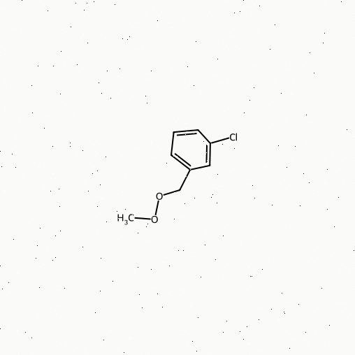 COOCc1cccc(Cl)c1